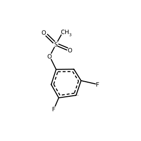 CS(=O)(=O)Oc1cc(F)[c]c(F)c1